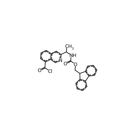 CC(NC(=O)OCC1c2ccccc2-c2ccccc21)c1cc2cccc(C(=O)Cl)c2cn1